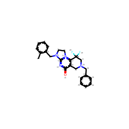 Cc1ccccc1CN1CCn2c1nc(=O)c1c2C(F)(F)CN(Cc2ccccc2)C1